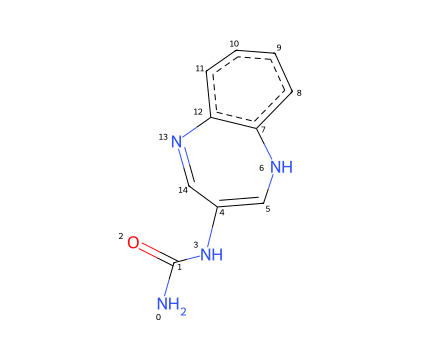 NC(=O)NC1=CNc2ccccc2N=C1